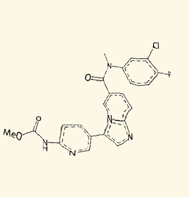 COC(=O)Nc1ccc(-c2cnc3ccc(C(=O)N(C)c4ccc(F)c(Cl)c4)cn23)cn1